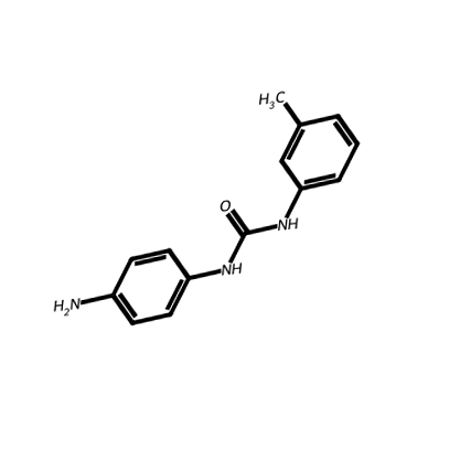 Cc1cccc(NC(=O)Nc2ccc(N)cc2)c1